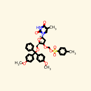 COc1ccc(C(OC[C@H]2O[C@@H](n3cc(C)c(=O)[nH]c3=O)CC2OCOS(=O)(=O)c2ccc(C)cc2)(c2ccccc2)c2ccc(OC)cc2)cc1